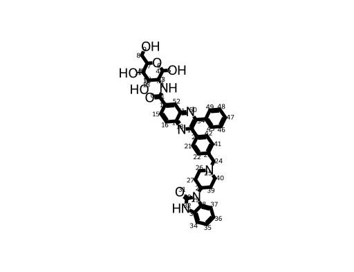 O=C(N[C@@H]1C(O)OC(CO)[C@@H](O)[C@H]1O)c1ccc2nc(-c3ccc(CN4CCC(n5c(=O)[nH]c6ccccc65)CC4)cc3)c(-c3ccccc3)nc2c1